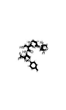 CC1CCC(n2cc(NC(=O)/C(C=N)=C3\N=C(N4C[C@H]5C[C@@H]4CO5)C=CN3)c(C(F)F)n2)CC1